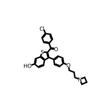 O=C(c1ccc(Cl)cc1)c1sc2cc(O)ccc2c1-c1ccc(OCCCN2CCC2)cc1